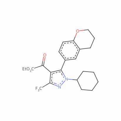 CCOC(=O)C(=O)c1c(C(F)(F)F)nn(C2CCCCC2)c1-c1ccc2c(c1)CCCO2